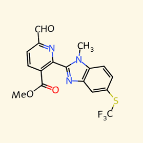 COC(=O)c1ccc(C=O)nc1-c1nc2cc(SC(F)(F)F)ccc2n1C